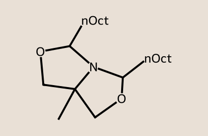 CCCCCCCCC1OCC2(C)COC(CCCCCCCC)N12